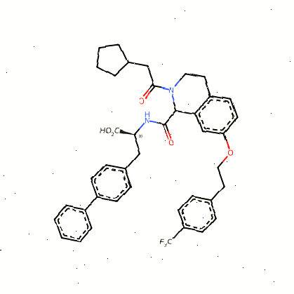 O=C(N[C@@H](Cc1ccc(-c2ccccc2)cc1)C(=O)O)C1c2cc(OCCc3ccc(C(F)(F)F)cc3)ccc2CCN1C(=O)CC1CCCC1